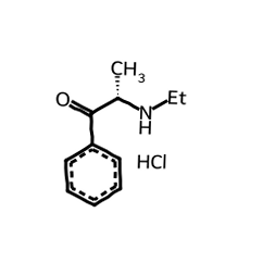 CCN[C@@H](C)C(=O)c1ccccc1.Cl